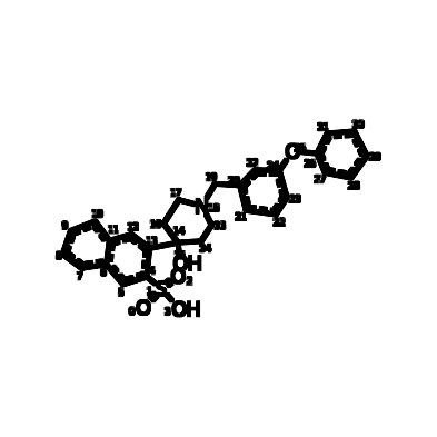 O=S(=O)(O)c1cc2ccccc2cc1C1(O)CCN(Cc2cccc(Oc3ccccc3)c2)CC1